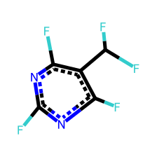 Fc1nc(F)c(C(F)F)c(F)n1